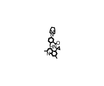 Cc1cc(C2(NC(=O)c3cc(N4CC5CCC(C4)N5C)ccc3C)CC2)c2ccc(C)nc2c1